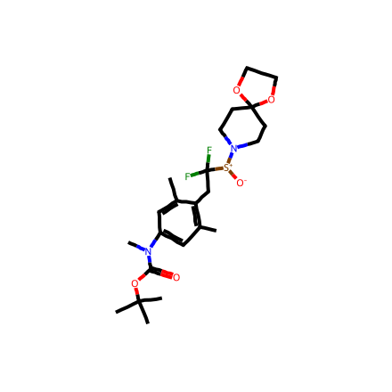 Cc1cc(N(C)C(=O)OC(C)(C)C)cc(C)c1CC(F)(F)[S+]([O-])N1CCC2(CC1)OCCO2